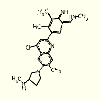 CN/C=C1/C=C(c2cc(Cl)c3cc(N4CCC(NC)C4)c(C)cc3n2)C(O)=C(C)C1=N